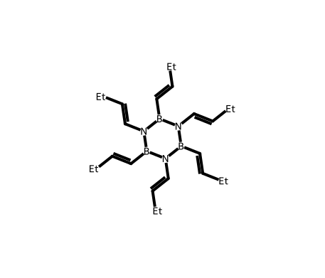 CC/C=C/B1N(/C=C/CC)B(/C=C/CC)N(/C=C/CC)B(/C=C/CC)N1/C=C/CC